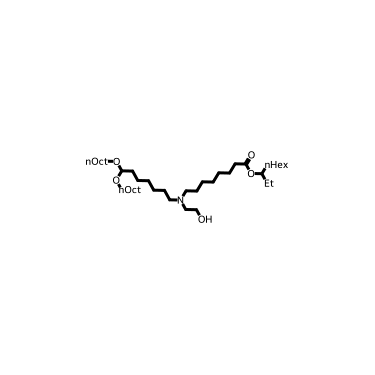 CCCCCCCCOC(CCCCCCN(CCO)CCCCCCCC(=O)OC(CC)CCCCCC)OCCCCCCCC